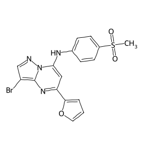 CS(=O)(=O)c1ccc(Nc2cc(-c3ccco3)nc3c(Br)cnn23)cc1